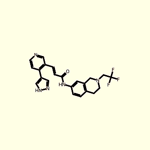 O=C(C=Cc1cnccc1-c1cn[nH]c1)Nc1ccc2c(c1)CN(CC(F)(F)F)CC2